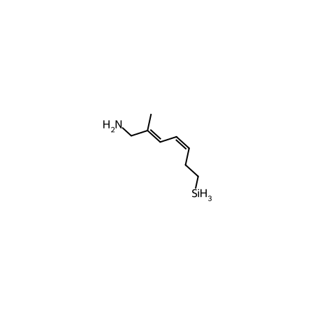 C/C(=C\C=C/CC[SiH3])CN